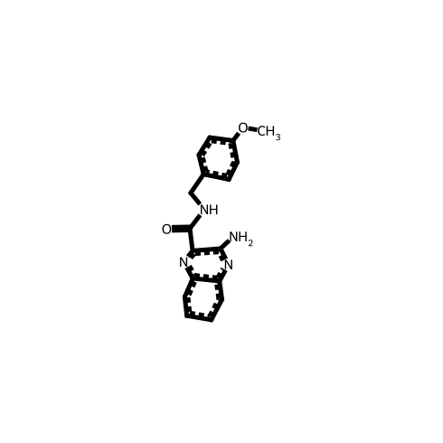 COc1ccc(CNC(=O)c2nc3ccccc3nc2N)cc1